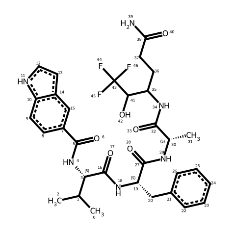 CC(C)[C@H](NC(=O)c1ccc2[nH]ccc2c1)C(=O)N[C@@H](Cc1ccccc1)C(=O)N[C@@H](C)C(=O)NC(CCC(N)=O)C(O)C(F)(F)F